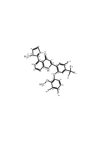 COc1c(Oc2cc(C(F)(F)F)c(F)cc2-c2cc(=O)c3c(-c4nccn4C)nccc3[nH]2)ccc(F)c1F